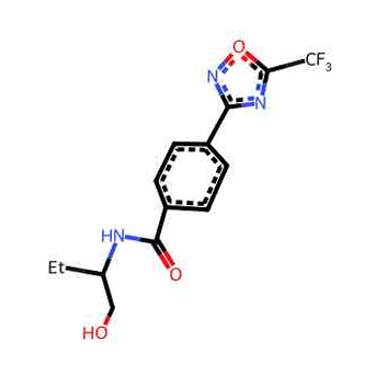 CCC(CO)NC(=O)c1ccc(-c2noc(C(F)(F)F)n2)cc1